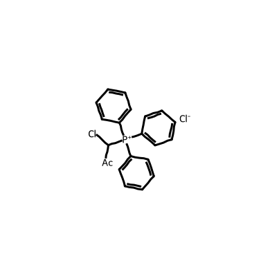 CC(=O)C(Cl)[P+](c1ccccc1)(c1ccccc1)c1ccccc1.[Cl-]